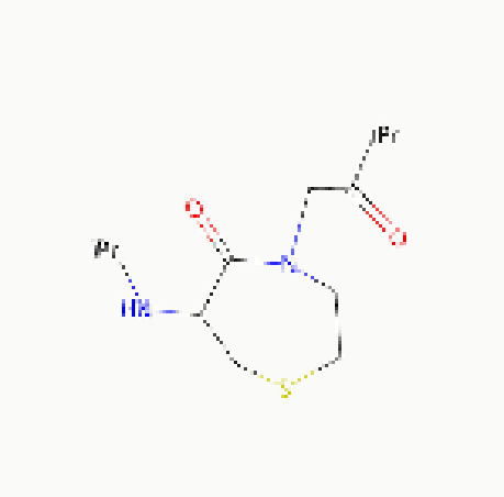 CC(C)NC1CSCCN(CC(=O)C(C)C)C1=O